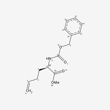 C=CCC[C@@H](NC(=O)OCc1ccccc1)C(=O)OC